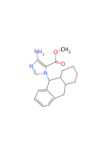 COC(=O)c1c(N)ncn1C1c2ccccc2CC2CCCCC21